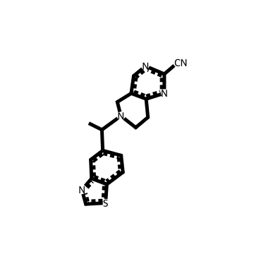 CC(c1ccc2scnc2c1)N1CCc2nc(C#N)ncc2C1